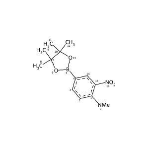 CNc1ccc(B2OC(C)(C)C(C)(C)O2)cc1[N+](=O)[O-]